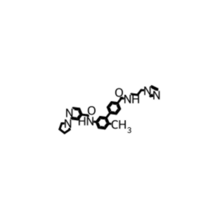 Cc1ccc(NC(=O)c2ccnc(N3CCCC3)c2)cc1-c1ccc(C(=O)NCCCn2ccnc2)cc1